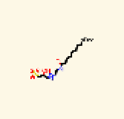 CCCCCCCCCCCCCCCCCC(=O)NCC[N+](C)(C)CC(O)CS(=O)(=O)[O-]